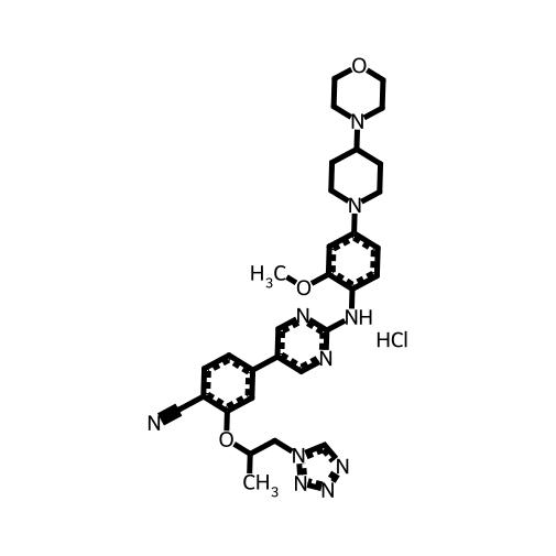 COc1cc(N2CCC(N3CCOCC3)CC2)ccc1Nc1ncc(-c2ccc(C#N)c(OC(C)Cn3cnnn3)c2)cn1.Cl